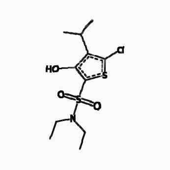 CCN(CC)S(=O)(=O)c1sc(Cl)c(C(C)C)c1O